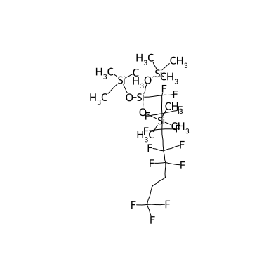 C[Si](C)(C)O[Si](O[Si](C)(C)C)(O[Si](C)(C)C)C(F)(F)C(F)(F)C(F)(F)C(F)(F)C(F)(F)CCC(F)(F)F